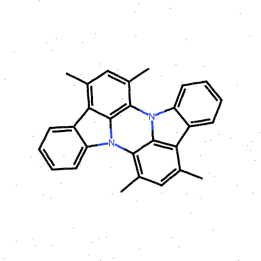 Cc1cc(C)c2c3c1c1ccccc1n3c1c(C)cc(C)c3c4ccccc4n2c31